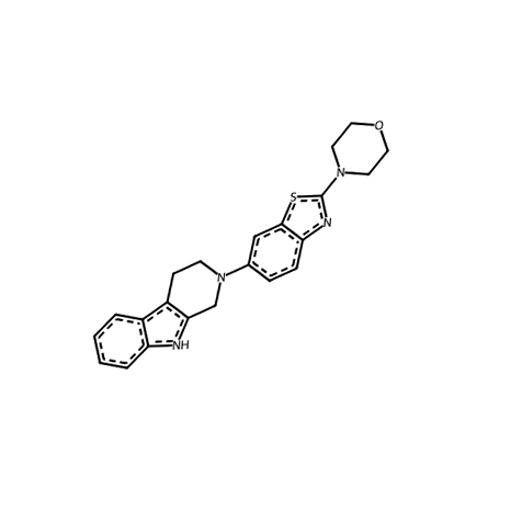 c1ccc2c3c([nH]c2c1)CN(c1ccc2nc(N4CCOCC4)sc2c1)CC3